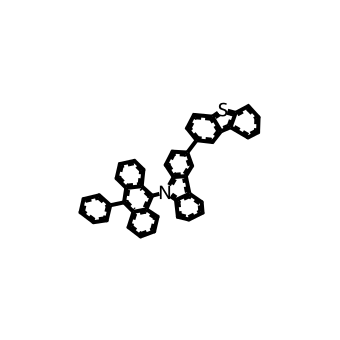 c1ccc(-c2c3ccccc3c(-n3c4ccccc4c4cc(-c5ccc6sc7ccccc7c6c5)ccc43)c3ccccc23)cc1